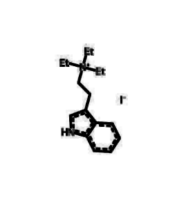 CC[N+](CC)(CC)CCc1c[nH]c2ccccc12.[I-]